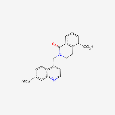 COc1ccc2c(CN3CCc4c(C(=O)O)cccc4C3=O)ccnc2c1